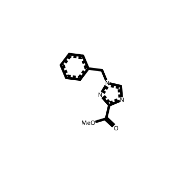 COC(=O)c1ncn(Cc2ccccc2)n1